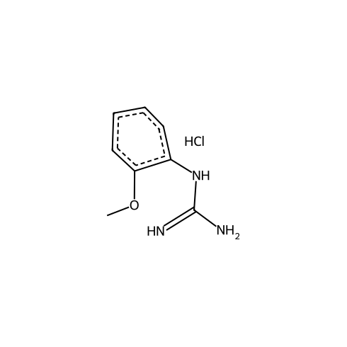 COc1ccccc1NC(=N)N.Cl